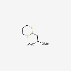 COC(CC1SCCCS1)OC